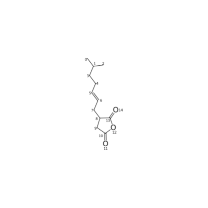 CC(C)CCC=CCC1CC(=O)OC1=O